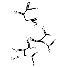 C=C(CC(=O)[O-])C(=O)[O-].C=C(CC(=O)[O-])C(=O)[O-].C=C(CC(=O)[O-])C(=O)[O-].[La+3].[La+3]